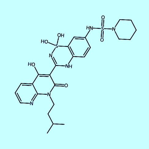 CC(C)CCn1c(=O)c(C2=NS(O)(O)c3cc(NS(=O)(=O)N4CCCCC4)ccc3N2)c(O)c2cccnc21